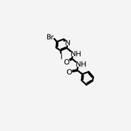 O=C(NC(=O)c1ccccc1)Nc1ncc(Br)cc1I